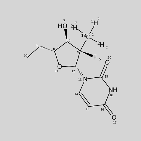 [2H][13C]([2H])([2H])[C@@]1(F)[C@H](O)[C@@H](CC)O[C@H]1n1ccc(=O)[nH]c1=O